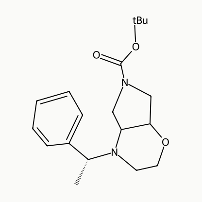 C[C@H](c1ccccc1)N1CCOC2CN(C(=O)OC(C)(C)C)CC21